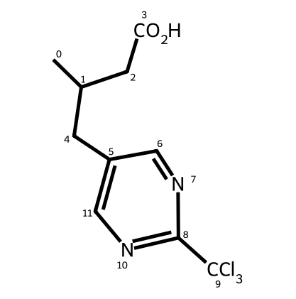 CC(CC(=O)O)Cc1cnc(C(Cl)(Cl)Cl)nc1